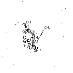 CCCCCCCCCCCCCCCC(=O)N(C)[C@H](CO)C(=O)N[C@H](N)C(=O)NCC(=O)N(C)[C@@H]1C(=O)N[C@@H](C)C(=O)N[C@H](C(=O)NCC(=O)N2CCC[C@H]2C(=O)O)Cc2ccc(O)c(c2)-c2cc1ccc2O